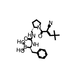 CC(C)(C)C=C(C#N)C(=O)N1CCC[C@H]1CNC(=O)N[C@@H](Cc1ccccc1)B(O)O